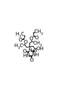 C=CC(=O)OC(C)CC(CCO)(CC(C)OC(=O)C=C)n1c(=O)[nH]c(=O)[nH]c1=O